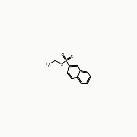 O=S(=O)(OCC(F)(F)F)c1ccc2ccccc2c1